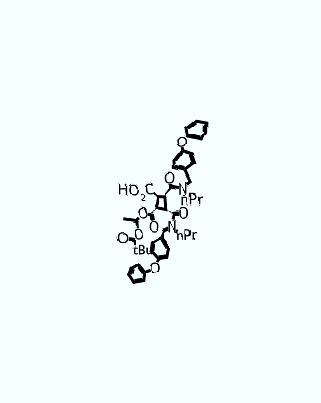 CCCN(Cc1ccc(Oc2ccccc2)cc1)C(=O)[C@@H]1[C@H](C(=O)O)[C@@H](C(=O)OC(C)OC(=O)C(C)(C)C)[C@H]1C(=O)N(CCC)Cc1ccc(Oc2ccccc2)cc1